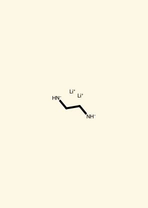 [Li+].[Li+].[NH-]CC[NH-]